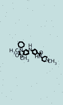 C[C@@H]1C(=O)N(C)c2ccc(Nc3ccc(C(=O)NC4CCN(C)CC4)cc3)cc2N1C1CCCCCC1